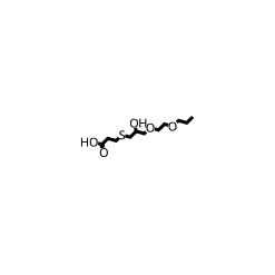 CCCOCCOCC(O)CSCCC(=O)O